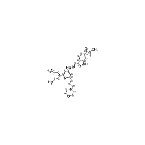 CCCN(CCC)c1cc(N/N=C/c2c[nH]c3cc(C(=O)NC)ccc23)cc(OCCN2CCOCC2)n1